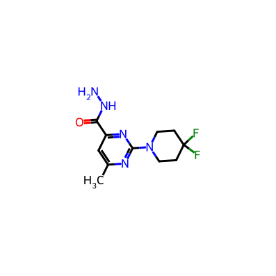 Cc1cc(C(=O)NN)nc(N2CCC(F)(F)CC2)n1